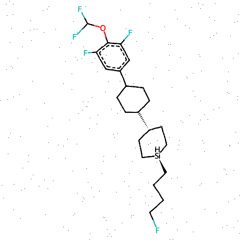 FCCCC[Si@H]1CC[C@H](C2CCC(c3cc(F)c(OC(F)F)c(F)c3)CC2)CC1